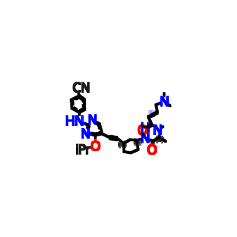 CC(C)Oc1nc(Nc2ccc(C#N)cc2)ncc1C#C[C@@H]1CCC[C@H](NC(=O)[C@H](C)N(C)C(=O)/C=C/CN(C)C)C1